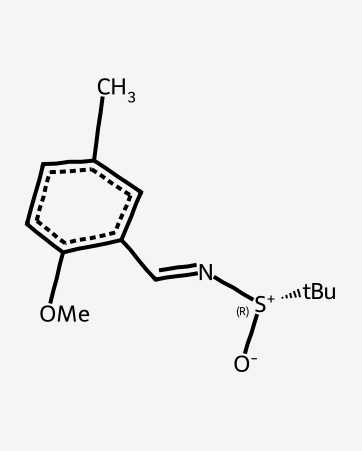 COc1ccc(C)cc1C=N[S@@+]([O-])C(C)(C)C